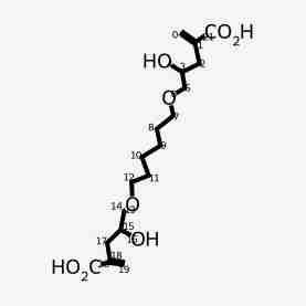 C=C(CC(O)COCCCCCCOCC(O)CC(=C)C(=O)O)C(=O)O